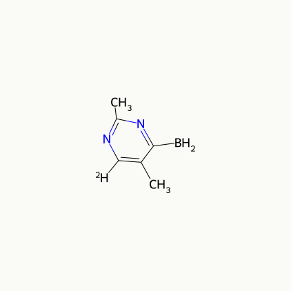 [2H]c1nc(C)nc(B)c1C